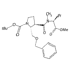 COC(=O)[C@H](C(C)C)N(C)C(=O)[C@@H]1CCN(C(=O)OC(C)(C)C)[C@H]1COCc1ccccc1